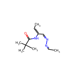 C\C=N/N=C\C(=C/C)NC(=O)C(C)(C)C